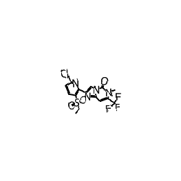 CCS(=O)(=O)c1ccc(Cl)nc1-c1cn2c(=O)n(C)c(C(F)(F)F)cc2n1